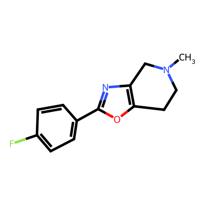 CN1CCc2oc(-c3ccc(F)cc3)nc2C1